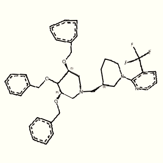 FC(F)(F)c1cccnc1N1CCC[C@H](CN2C[C@H](OCc3ccccc3)C(OCc3ccccc3)[C@H](OCc3ccccc3)C2)C1